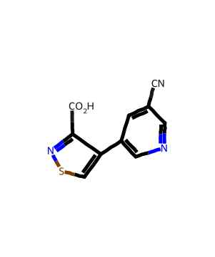 N#Cc1cncc(-c2csnc2C(=O)O)c1